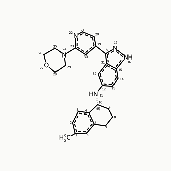 Cc1ccc2c(c1)CCC[C@H]2Nc1ccc2[nH]nc(-c3ccnc(N4CCOCC4)c3)c2c1